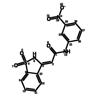 O=C(C=C1NS(=O)(=O)c2ccccc21)Nc1cccc([N+](=O)[O-])c1